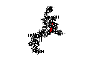 Cn1c(=O)c(C(=O)c2cccc(S(=O)(=O)O)c2)c2c3c(c(Nc4cc(Nc5nc(NC6CCC(CC7CCC(Nc8nc(Nc9cc(Nc%10ccc%11c%12c%10C(=O)c%10ccccc%10-c%12c(C(=O)c%10cccc(S(=O)(=O)O)c%10)c(=O)n%11C)c(S(=O)(=O)O)cc9S(=O)(=O)O)nc(Oc9ccc(S(=O)(=O)O)cc9)n8)CC7)CC6)nc(Oc6ccc(S(=O)(=O)O)cc6)n5)c(S(=O)(=O)O)cc4S(=O)(=O)O)ccc31)C(=O)c1ccccc1-2